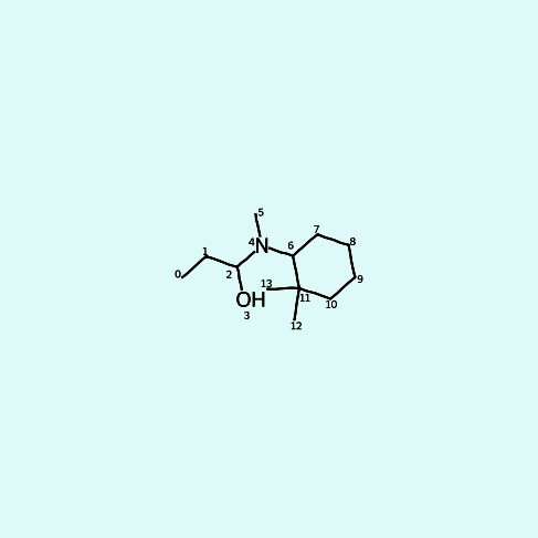 CCC(O)N(C)C1CCCCC1(C)C